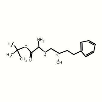 CC(C)(C)OC(=O)C(N)NC[C@@H](O)CCc1ccccc1